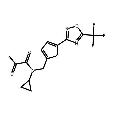 CC(=O)C(=O)N(Cc1ccc(-c2noc(C(F)(F)F)n2)s1)C1CC1